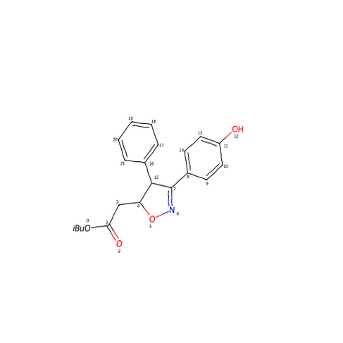 CC(C)COC(=O)CC1ON=C(c2ccc(O)cc2)C1c1ccccc1